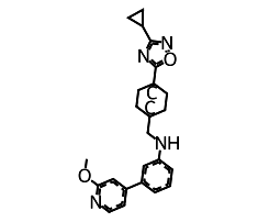 COc1cc(-c2cccc(NCC34CCC(c5nc(C6CC6)no5)(CC3)CC4)c2)ccn1